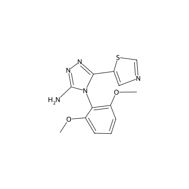 COc1cccc(OC)c1-n1c(N)nnc1-c1cncs1